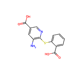 Nc1cc(C(=O)O)cnc1Sc1ccccc1C(=O)O